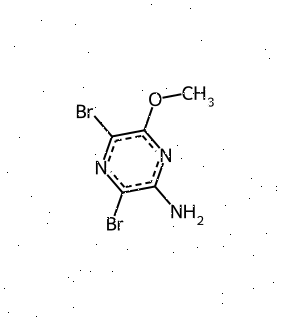 COc1nc(N)c(Br)nc1Br